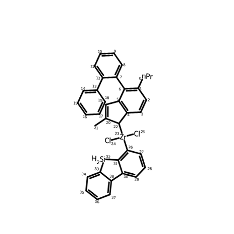 CCCc1ccc2c(c1-c1ccccc1-c1ccccc1)C=C(C)[CH]2[Zr]([Cl])([Cl])[c]1cccc2c1[SiH2]c1ccccc1-2